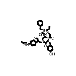 C=CCN1CC(=O)N2[C@@H](Cc3ccc(O)cc3)C(=O)N(Cc3csc4cc(NCCC)ccc34)C[C@@H]2N1C(=O)NCc1ccccc1